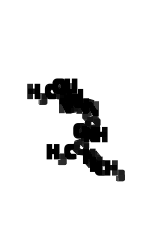 Cc1cc(C(=O)Nc2cccc(Cc3nccn3-c3ccnc(NC[C@H](C)O)n3)c2)cc(N2CCN(C)CC2)c1